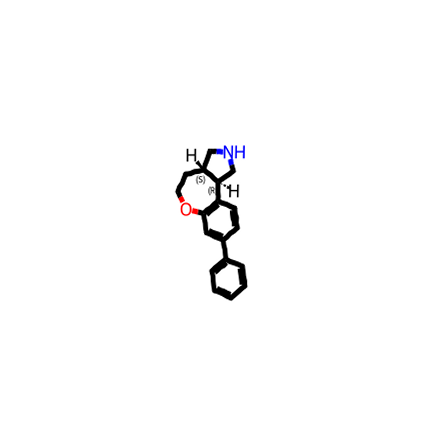 c1ccc(-c2ccc3c(c2)OCC[C@@H]2CNC[C@@H]32)cc1